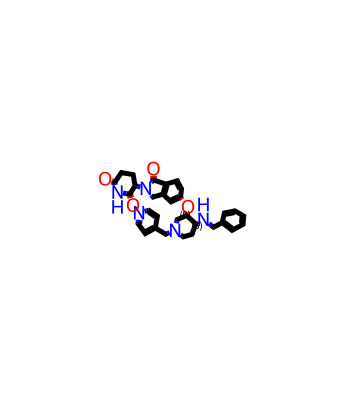 O=C1CCC(N2Cc3cc(O[C@H]4CN(Cc5ccncc5)CC[C@@H]4NCc4ccccc4)ccc3C2=O)C(=O)N1